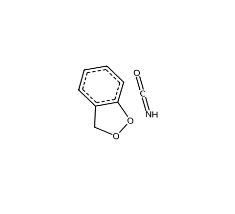 N=C=O.c1ccc2c(c1)COO2